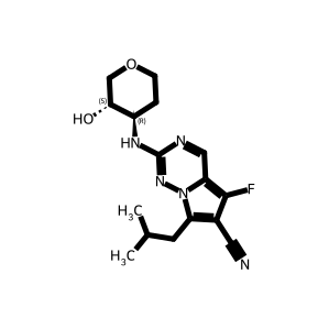 CC(C)Cc1c(C#N)c(F)c2cnc(N[C@@H]3CCOC[C@H]3O)nn12